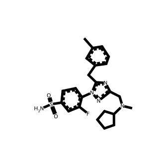 Cc1cccc(Cc2nc(CN(C)C3CCCC3)nn2-c2ccc(S(N)(=O)=O)cc2F)c1